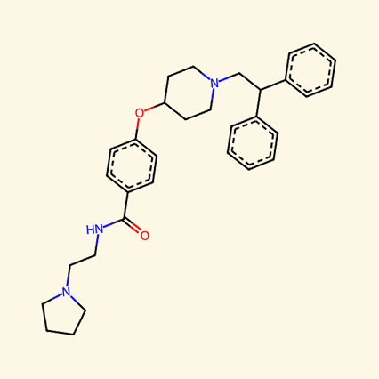 O=C(NCCN1CCCC1)c1ccc(OC2CCN(CC(c3ccccc3)c3ccccc3)CC2)cc1